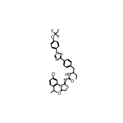 CCC(Cc1ccc(-c2ncn(-c3ccc(OC(F)(F)F)cc3)n2)cc1)NC(=O)N=C1SCC(=O)N1c1cc(Cl)ccc1C(C)C